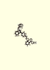 O=C(O)c1ccccc1OCCN1CCC(c2cn(Cc3ccoc3)c3ccccc23)CC1